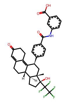 C[C@]12C[C@H](c3ccc(C(=O)Nc4cccc(C(=O)O)c4)cc3)C3=C4CCC(=O)C=C4CC[C@H]3[C@@H]1CC[C@@]2(O)C(F)(F)C(F)(F)F